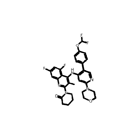 Cc1c(N2CCCCC2=O)nc2cc(F)cc(F)c2c1Nc1cc(N2CCOCC2)ncc1-c1ccc(OC(F)F)cc1